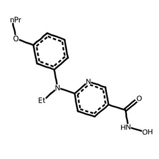 CCCOc1cccc(N(CC)c2ccc(C(=O)NO)cn2)c1